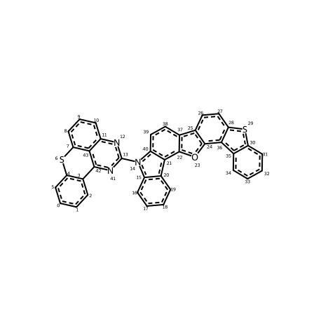 c1ccc2c(c1)Sc1cccc3nc(-n4c5ccccc5c5c6oc7c(ccc8sc9ccccc9c87)c6ccc54)nc-2c13